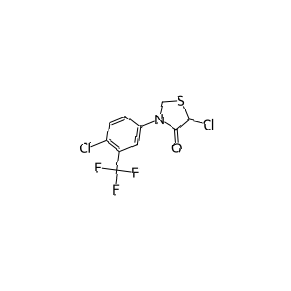 O=C1C(Cl)SCN1c1ccc(Cl)c(C(F)(F)F)c1